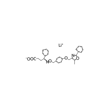 Cc1oc(-c2ccccc2)nc1COc1ccc(CON=C(CCC(=O)[O-])c2ccccc2)cc1.[Li+]